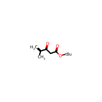 C=C(C)C(=O)CC(=O)OC(C)(C)C